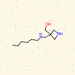 CCCCCCNCC1(CO)CNC1